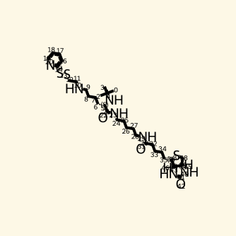 CC(C)(C)N[C@@H](CCCCNCCSSc1ccccn1)C(=O)NCCCCCNC(=O)CCCC[C@@H]1SC[C@@H]2NC(=O)N[C@@H]21